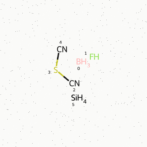 B.F.N#CSC#N.[SiH4]